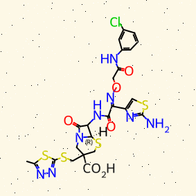 Cc1nnc(SCC2(C(=O)O)CS[C@@H]3C(NC(=O)C(=NOCC(=O)Nc4cccc(Cl)c4)c4csc(N)n4)C(=O)N3C2)s1